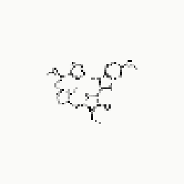 CCn1c(=O)/c(=C2\Sc3cc(OC)ccc3N2C)s/c1=C\c1scc[n+]1Cc1ccsc1C(=O)OC